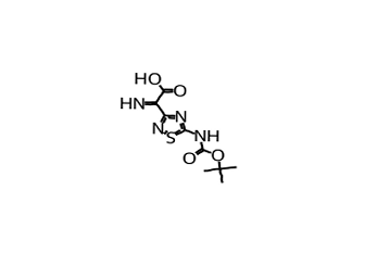 CC(C)(C)OC(=O)Nc1nc(C(=N)C(=O)O)ns1